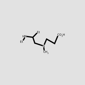 CCNC(CC)CN(C)CCC(=O)O